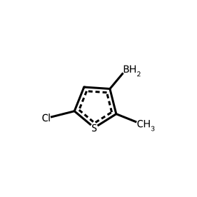 Bc1cc(Cl)sc1C